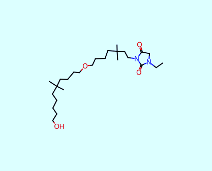 CCN1CC(=O)N(CCC(C)(C)CCCCOCCCCC(C)(C)CCCCCO)C1=O